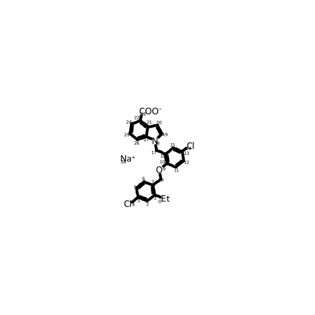 CCc1cc(Cl)ccc1COc1ccc(Cl)cc1Cn1ccc2c(C(=O)[O-])cccc21.[Na+]